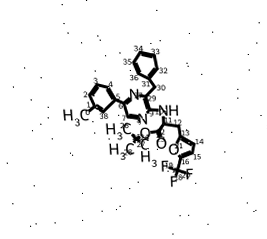 Cc1cccc(-c2cnc(NC(Cc3ccc(C(F)(F)F)o3)C(=O)OC(C)(C)C)c(Cc3ccccc3)n2)c1